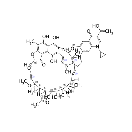 C=C(O)c1cn(C2CC2)c2cc(N3CCC(N(C)/N=C/c4c5c(O)c6c(O)c(C)c7c(c6c4O)C(=O)[C@@](C)(O/C=C/[C@H](OC)[C@@H](C)[C@@H](OC(C)=O)[C@H](C)[C@H](O)[C@H](C)[C@@H](O)[C@@H](C)/C=C/C=C(/C)C(=O)N5)O7)C3)c(F)cc2c1=O